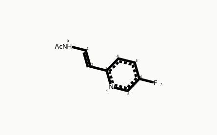 CC(=O)NC=Cc1ccc(F)cn1